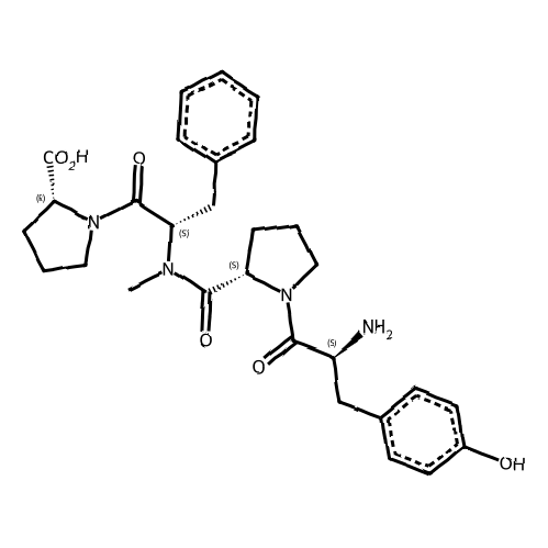 CN(C(=O)[C@@H]1CCCN1C(=O)[C@@H](N)Cc1ccc(O)cc1)[C@@H](Cc1ccccc1)C(=O)N1CCC[C@@H]1C(=O)O